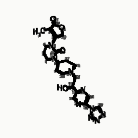 CC1=C(N2CCCN(C3CCN(CC(O)c4cnc(-n5cnnn5)cn4)CC3)C2=O)COC1=O